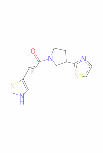 O=C(/C=C/C1=CNCS1)N1CCC(c2nccs2)C1